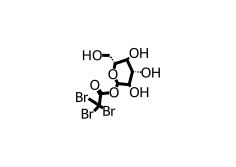 O=C(OC1O[C@H](CO)[C@@H](O)[C@H](O)[C@H]1O)C(Br)(Br)Br